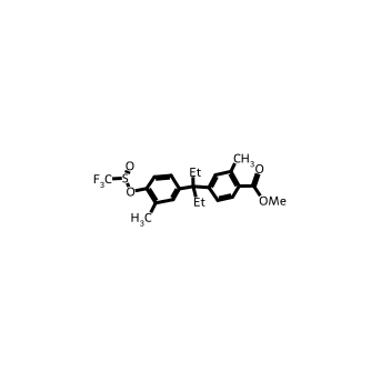 CCC(CC)(c1ccc(OS(=O)C(F)(F)F)c(C)c1)c1ccc(C(=O)OC)c(C)c1